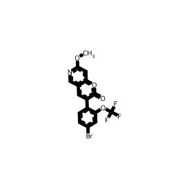 COc1cc2oc(=O)c(-c3ccc(Br)cc3OC(F)(F)F)cc2cn1